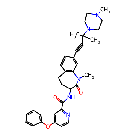 CN1CCN(C(C)(C)C#Cc2ccc3c(c2)N(C)C(=O)C(NC(=O)c2cc(Oc4ccccc4)ccn2)CC3)CC1